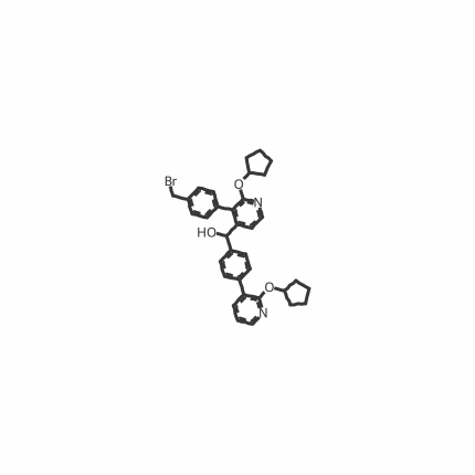 OC(c1ccc(-c2cccnc2OC2CCCC2)cc1)c1ccnc(OC2CCCC2)c1-c1ccc(CBr)cc1